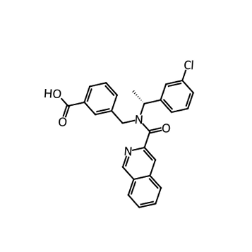 C[C@H](c1cccc(Cl)c1)N(Cc1cccc(C(=O)O)c1)C(=O)c1cc2ccccc2cn1